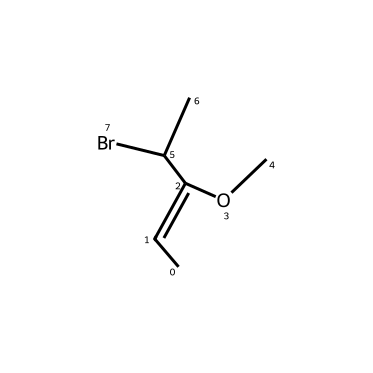 CC=C(OC)C(C)Br